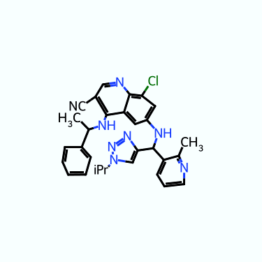 Cc1ncccc1C(Nc1cc(Cl)c2ncc(C#N)c(NC(C)c3ccccc3)c2c1)c1cn(C(C)C)nn1